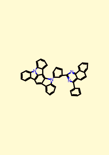 c1ccc(-c2nc(-c3cccc(-n4c5ccccc5c5cc6c7ccccc7n7c8ccccc8c(c54)c67)c3)nc3c2ccc2ccccc23)cc1